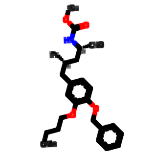 COCCCOc1cc(C[C@@H](C[C@@H](C=O)NC(=O)OC(C)(C)C)C(C)C)ccc1OCc1ccccc1